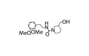 COc1cccc(CCNC(=O)N2CCCC(CO)C2)c1OC